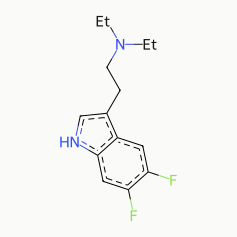 CCN(CC)CCc1c[nH]c2cc(F)c(F)cc12